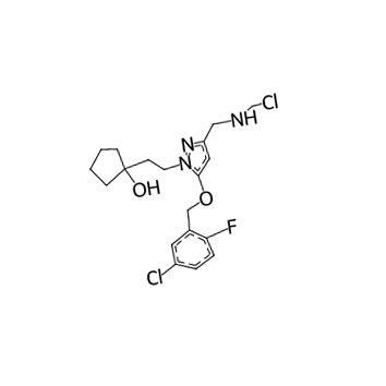 OC1(CCn2nc(CNCCl)cc2OCc2cc(Cl)ccc2F)CCCC1